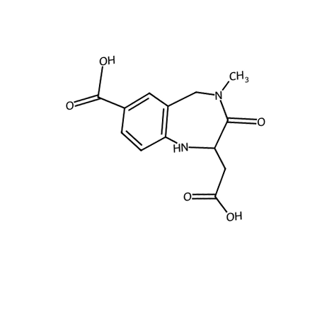 CN1Cc2cc(C(=O)O)ccc2NC(CC(=O)O)C1=O